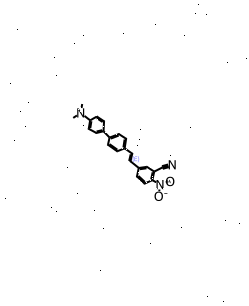 CN(C)c1ccc(-c2ccc(/C=C/c3ccc([N+](=O)[O-])c(C#N)c3)cc2)cc1